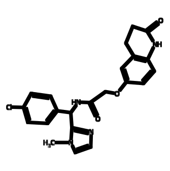 Cn1ccnc1C(NC(=O)COc1ccc2c(c1)CCC(=O)N2)c1ccc(Cl)cc1